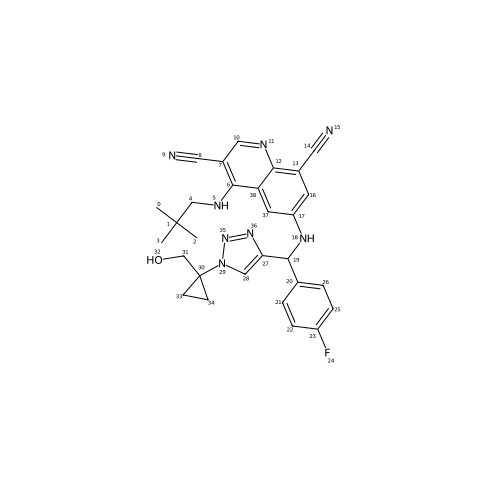 CC(C)(C)CNc1c(C#N)cnc2c(C#N)cc(NC(c3ccc(F)cc3)c3cn(C4(CO)CC4)nn3)cc12